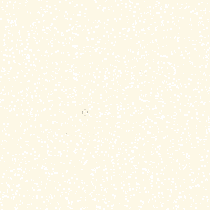 O=C(CCCC(=O)OC(=O)c1ccccc1)OC(=O)c1ccccc1